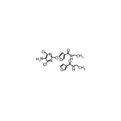 CCNC(=O)c1ccoc1.CCNC(=O)c1ccoc1.Nc1c(Cl)nc(Cl)nc1Cl